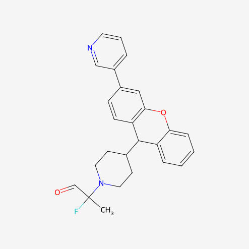 CC(F)(C=O)N1CCC(C2c3ccccc3Oc3cc(-c4cccnc4)ccc32)CC1